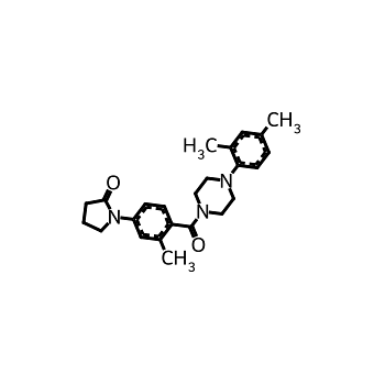 Cc1ccc(N2CCN(C(=O)c3ccc(N4CCCC4=O)cc3C)CC2)c(C)c1